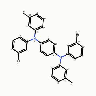 CCc1cccc(N(c2ccc(N(c3cccc(C)c3)c3cccc(CC)c3)cc2)c2cccc(C)c2)c1